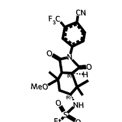 CCS(=O)(=O)N[C@@H]1CC(C)(OC)C2C(=O)N(c3ccc(C#N)c(C(F)(F)F)c3)C(=O)[C@H]2C1(C)C